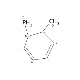 CC1C=CC=CC1P